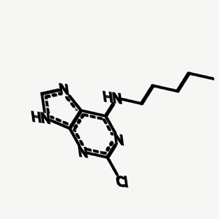 CCCCCNc1nc(Cl)nc2[nH]cnc12